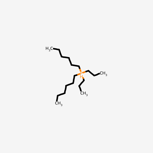 CCCCCC[PH](CCC)(CCC)CCCCCC